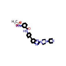 CS(=O)(=O)Nc1cccc(C(=O)Nc2ccc(-c3ccc4ncc(N5CCN(c6ccncc6)CC5)nc4c3)cc2)c1